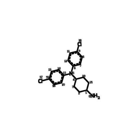 NC1CCC(N(c2ccc(Cl)cc2)c2ccc(Cl)cc2)CC1